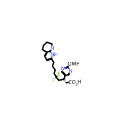 COc1ncc([C@H](CC(=O)O)CC(F)(F)CCCCC2=CC=C3CCCCN=C3N2)cn1